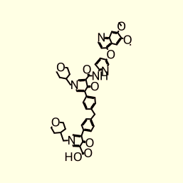 COc1cc2nccc(Oc3ccc(NC(=O)c4cn(CC5CCOCC5)cc(-c5ccc(Cc6ccc(-c7cn(CC8CCOCC8)cc(C(=O)O)c7=O)cc6)cc5)c4=O)nc3)c2cc1OC